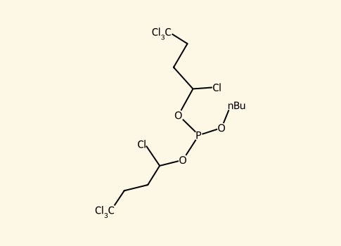 CCCCOP(OC(Cl)CCC(Cl)(Cl)Cl)OC(Cl)CCC(Cl)(Cl)Cl